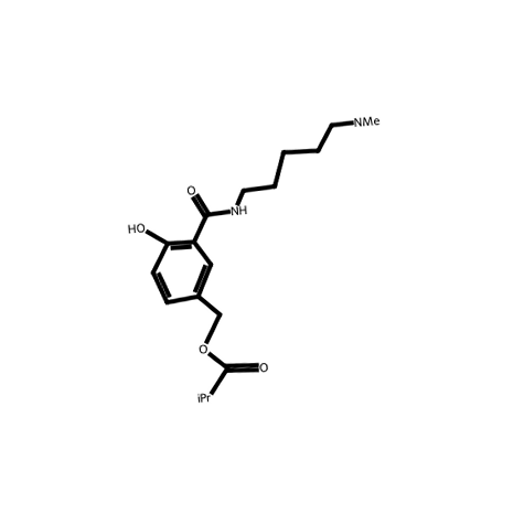 CNCCCCCNC(=O)c1cc(COC(=O)C(C)C)ccc1O